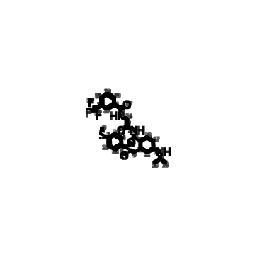 CSc1ccc(S(=O)(=O)C[C@@H]2C[C@H](NC(C)C)CC[C@@H]2CNC(=O)CNC(=O)c2cccc(C(F)(F)F)c2)cc1